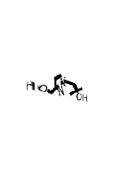 CC(C)(O)Cn1ccc(CO)n1